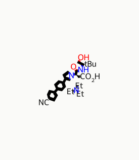 CC(C)(C)[C@@H](CO)NC(=O)[C@@H](CC(=O)O)n1ccc(-c2ccc(-c3ccc(C#N)cc3)cc2)c1.CCN(CC)CC